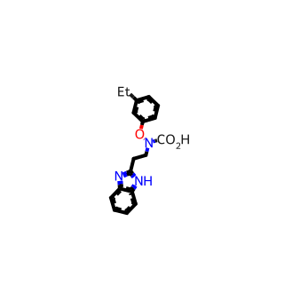 CCc1cccc(ON(CCc2nc3ccccc3[nH]2)C(=O)O)c1